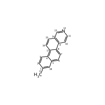 Cc1ccc2c(ccc3c4ccncc4ccc23)c1